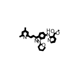 COC(=O)c1cccnc1Nc1ccc2c(C=Cc3cc(C)cc(C)n3)nn(C3CCCCO3)c2c1